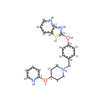 c1ccc(OC2CCN(Cc3ccc(Oc4nc5ncccc5s4)cc3)CC2)nc1